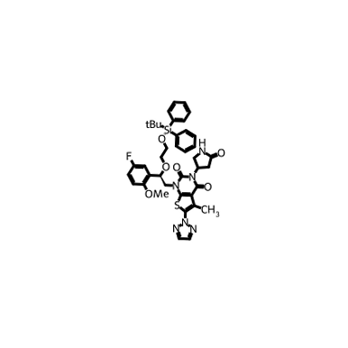 COc1ccc(F)cc1[C@H](Cn1c(=O)n(C2CNC(=O)C2)c(=O)c2c(C)c(-n3nccn3)sc21)OCCO[Si](c1ccccc1)(c1ccccc1)C(C)(C)C